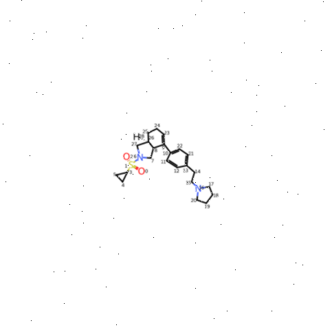 O=S(=O)(C1CC1)N1CC2C(c3ccc(CCN4CCCC4)cc3)=CCC[C@@H]2C1